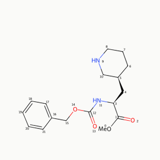 COC(=O)[C@H](C[C@@H]1CCCNC1)NC(=O)OCc1ccccc1